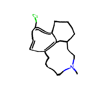 CN1CCc2ccc(Cl)c3c2C(CCC3)C1